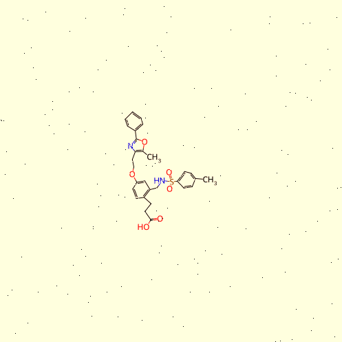 Cc1ccc(S(=O)(=O)NCc2cc(OCCc3nc(-c4ccccc4)oc3C)ccc2CCC(=O)O)cc1